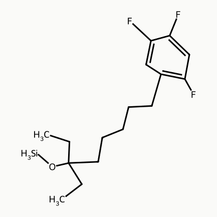 CCC(CC)(CCCCCc1cc(F)c(F)cc1F)O[SiH3]